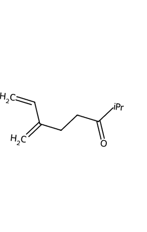 C=CC(=C)CCC(=O)C(C)C